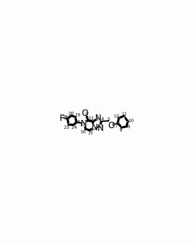 O=c1c2nc(COc3ccccc3)nn2ccn1-c1ccc(F)cc1